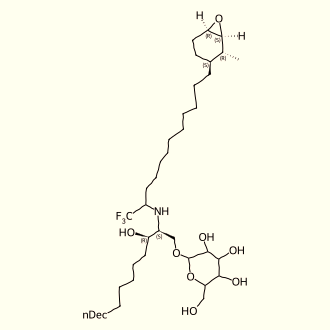 CCCCCCCCCCCCCCC[C@@H](O)[C@H](COC1OC(CO)C(O)C(O)C1O)NC(CCCCCCCCCC[C@H]1CC[C@H]2O[C@H]2[C@@H]1C)C(F)(F)F